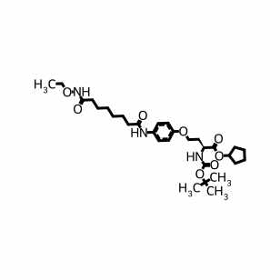 CCONC(=O)CCCCCCC(=O)Nc1ccc(OCC[C@H](NC(=O)OC(C)(C)C)C(=O)OC2CCCC2)cc1